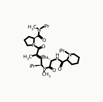 C/C(=C\[C@H](C(C)C)N(C)C(=O)[C@@H](NC(=O)C1CCCCN1C(C)C)C(C)(C)C)C(=O)N1CCC[C@H]1C(=O)N(C)C(C)C